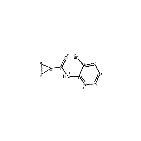 O=C(Nc1ncccc1Br)C1CC1